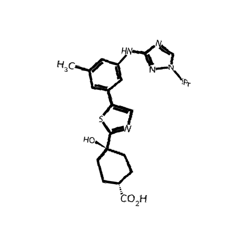 Cc1cc(Nc2ncn(C(C)C)n2)cc(-c2cnc([C@]3(O)CC[C@H](C(=O)O)CC3)s2)c1